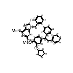 CNc1nc(C(F)(F)F)nc2c1ncn2Cc1ccccc1F.COc1ccc(C(Cc2ccncc2)c2ccccc2)cc1OC1CCCC1